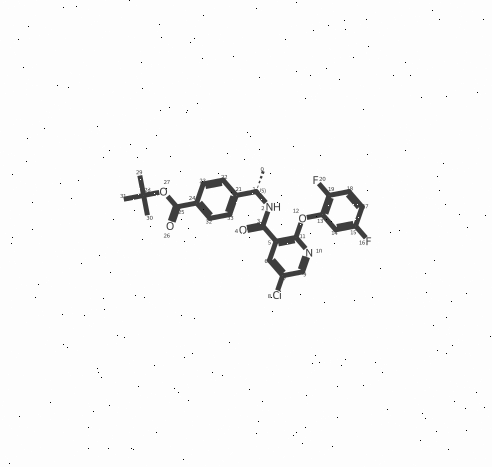 C[C@H](NC(=O)c1cc(Cl)cnc1Oc1cc(F)ccc1F)c1ccc(C(=O)OC(C)(C)C)cc1